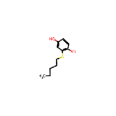 CCCCCSc1cc(O)ccc1O